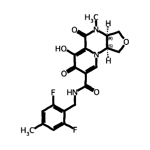 Cc1cc(F)c(CNC(=O)c2cn3c(c(O)c2=O)C(=O)N(C)[C@H]2COC[C@H]23)c(F)c1